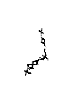 CC(C)(C)OC1CC(OCCC(F)(F)COC2CC3(C2)CN(C(C)(C)C)C3)C1